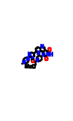 COCC(=O)N1CCC(n2c(=O)[nH]c(=O)c3cnc4ccc(-c5cnc(N6CCN(C)CC6)nc5)nc4c32)CC1